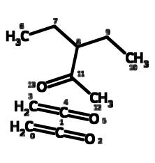 C=C=O.C=C=O.CCC(CC)C(C)=O